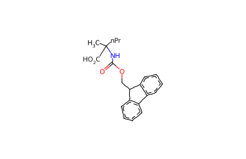 CCCC(C)(NC(=O)OCC1c2ccccc2-c2ccccc21)C(=O)O